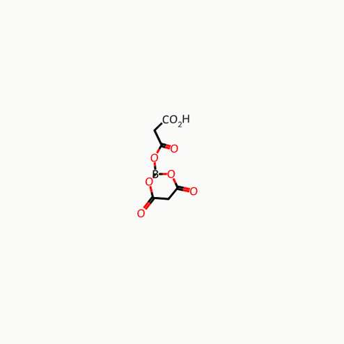 O=C(O)CC(=O)OB1OC(=O)CC(=O)O1